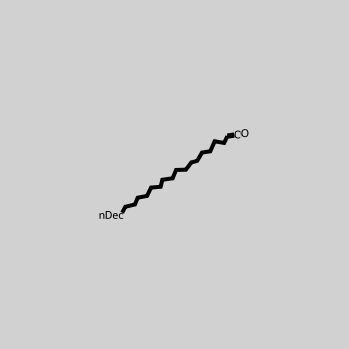 CCCCCCCCCCCCCCCCCCCCCCCCCCC=C=O